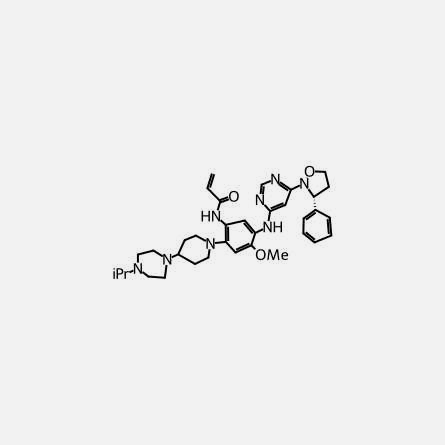 C=CC(=O)Nc1cc(Nc2cc(N3OCC[C@@H]3c3ccccc3)ncn2)c(OC)cc1N1CCC(N2CCN(C(C)C)CC2)CC1